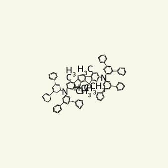 Cc1cc(N(c2cc(-c3ccccc3)cc(-c3ccccc3)c2)c2cc(-c3ccccc3)cc(-c3ccccc3)c2)cc2c1-c1ccc3c(c1C2(C)C)C(C)(C)c1cc(N(c2cc(-c4ccccc4)cc(-c4ccccc4)c2)C2C=C(c4ccccc4)C=C(C4=CC=CCC4)C2)cc(C)c1-3